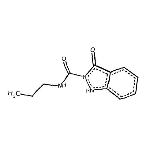 CCCNC(=O)n1[nH]c2ccccc2c1=O